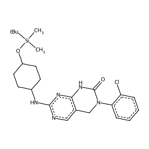 CC(C)(C)[Si](C)(C)OC1CCC(Nc2ncc3c(n2)NC(=O)N(c2ccccc2Cl)C3)CC1